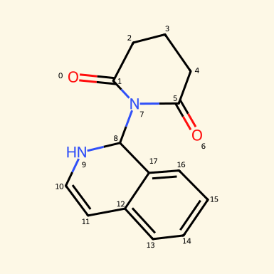 O=C1CCCC(=O)N1C1NC=Cc2ccccc21